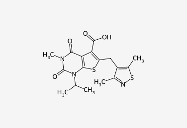 Cc1nsc(C)c1Cc1sc2c(c1C(=O)O)c(=O)n(C)c(=O)n2C(C)C